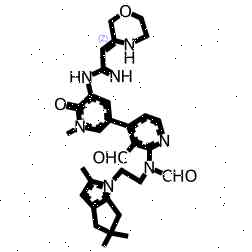 Cc1cc2c(n1CCN(C=O)c1nccc(-c3cc(NC(=N)/C=C4/COCCN4)c(=O)n(C)c3)c1C=O)CC(C)(C)C2